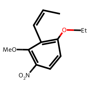 C/C=C\c1c(OCC)ccc([N+](=O)[O-])c1OC